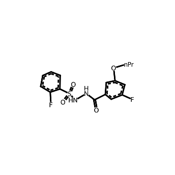 CCCOc1cc(F)cc(C(=O)NNS(=O)(=O)c2ccccc2F)c1